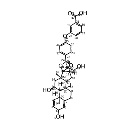 C[C@]12C=CC(O)C=C1CC[C@@H]1[C@@H]2[C@@H](O)C[C@@]2(C)[C@H]1C[C@H]1O[C@H](c3ccc(Oc4cccc(C(=O)O)c4)cc3)O[C@]12C(=O)CO